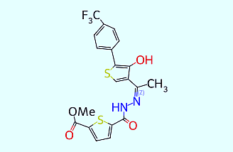 COC(=O)c1ccc(C(=O)N/N=C(/C)c2csc(-c3ccc(C(F)(F)F)cc3)c2O)s1